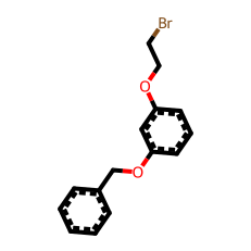 BrCCOc1cccc(OCc2ccccc2)c1